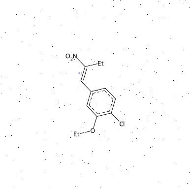 CCOc1cc(/C=C(\CC)[N+](=O)[O-])ccc1Cl